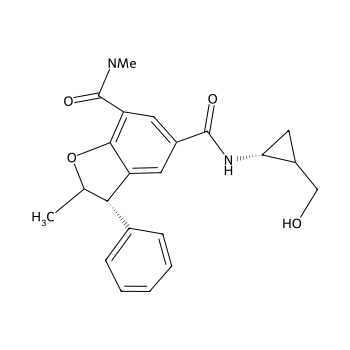 CNC(=O)c1cc(C(=O)N[C@@H]2CC2CO)cc2c1OC(C)[C@H]2c1ccccc1